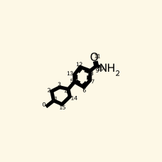 CC1CCC(c2ccc(C(N)=O)cc2)CC1